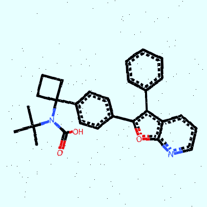 CC(C)(C)N(C(=O)O)C1(c2ccc(-c3oc4ncccc4c3-c3ccccc3)cc2)CCC1